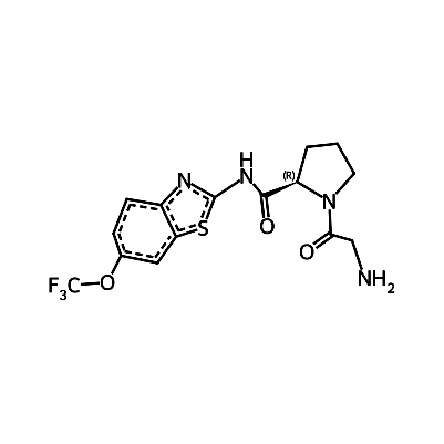 NCC(=O)N1CCC[C@@H]1C(=O)Nc1nc2ccc(OC(F)(F)F)cc2s1